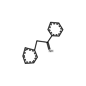 N=C(Cc1ccccc1)c1cc[c]cc1